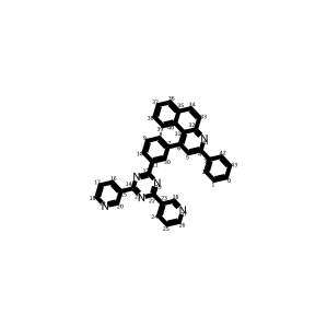 c1ccc(-c2cc(-c3cccc(-c4nc(-c5cccnc5)nc(-c5cccnc5)n4)c3)c3c(ccc4ccccc43)n2)cc1